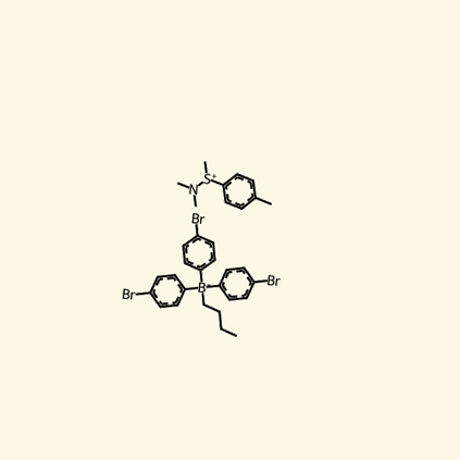 CCCC[B-](c1ccc(Br)cc1)(c1ccc(Br)cc1)c1ccc(Br)cc1.Cc1ccc([S+](C)N(C)C)cc1